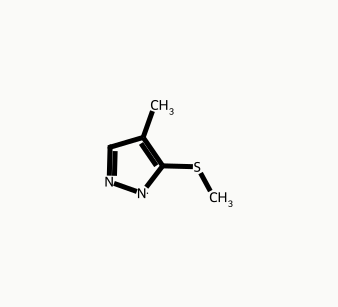 CSC1=C(C)C=N[N]1